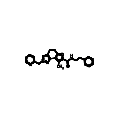 Cc1c(C(=O)NCCc2ccccc2)oc2c1-c1nn(Cc3ccccn3)cc1CC2